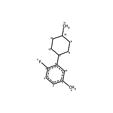 Cc1ccc(F)c(C2CCC(C)CC2)c1